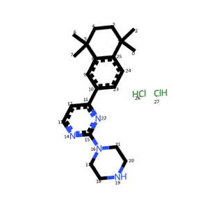 CC1(C)CCC(C)(C)c2cc(-c3ccnc(N4CCNCC4)n3)ccc21.Cl.Cl